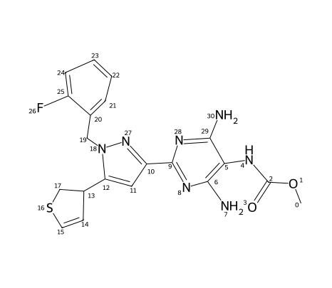 COC(=O)Nc1c(N)nc(-c2cc(C3C=CSC3)n(Cc3ccccc3F)n2)nc1N